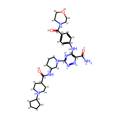 NC(=O)c1nnc(N2CCCC(NC(=O)C3CCN(C4CCCC4)CC3)C2)nc1Nc1ccc(C(=O)N2CCOCC2)cc1